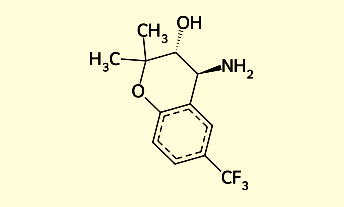 CC1(C)Oc2ccc(C(F)(F)F)cc2[C@H](N)[C@H]1O